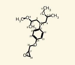 COC(C)CN(CC(C)OC)c1ccc(OCC2CO2)cc1